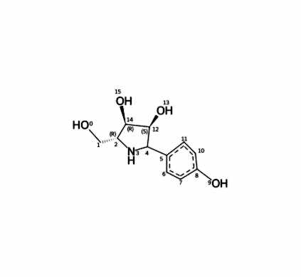 OC[C@H]1NC(c2ccc(O)cc2)[C@H](O)[C@@H]1O